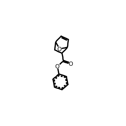 O=C(Oc1ccccc1)C1CC2C=CC1O2